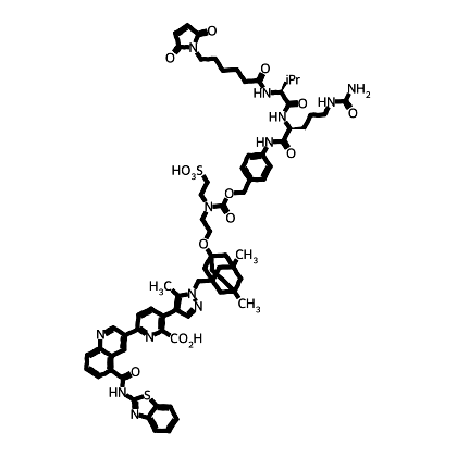 Cc1c(-c2ccc(-c3cnc4cccc(C(=O)Nc5nc6ccccc6s5)c4c3)nc2C(=O)O)cnn1CC12CC3(C)CC(C)(C1)CC(OCCN(CCS(=O)(=O)O)C(=O)OCc1ccc(NC(=O)[C@H](CCCNC(N)=O)NC(=O)[C@@H](NC(=O)CCCCCN4C(=O)C=CC4=O)C(C)C)cc1)(C3)C2